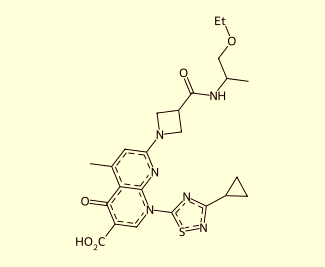 CCOCC(C)NC(=O)C1CN(c2cc(C)c3c(=O)c(C(=O)O)cn(-c4nc(C5CC5)ns4)c3n2)C1